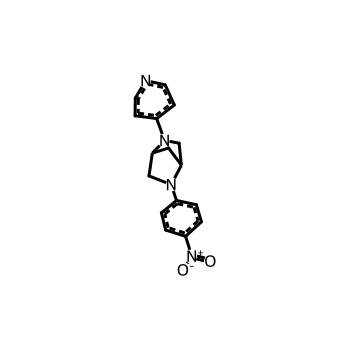 O=[N+]([O-])c1ccc(N2CC3CC2CN3c2ccncc2)cc1